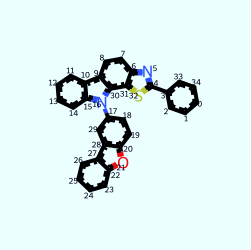 c1ccc(-c2nc3ccc4c5ccccc5n(-c5ccc6oc7ccccc7c6c5)c4c3s2)cc1